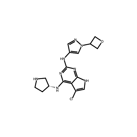 Clc1c[nH]c2nc(Nc3cnn(C4COC4)c3)nc(N[C@@H]3CCNC3)c12